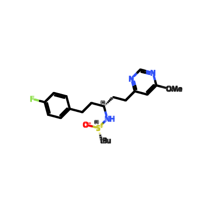 COc1cc(CC[C@@H](CCc2ccc(F)cc2)N[S@@+]([O-])C(C)(C)C)ncn1